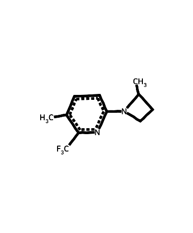 Cc1ccc(N2CCC2C)nc1C(F)(F)F